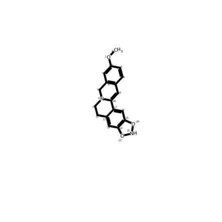 COc1ccc2c(c1)CN1CCc3cc4c(cc3C1=C2)ONO4